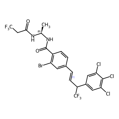 C[C@H](NC(=O)CC(F)(F)F)NC(=O)c1ccc(/C=C/C(c2cc(Cl)c(Cl)c(Cl)c2)C(F)(F)F)cc1Br